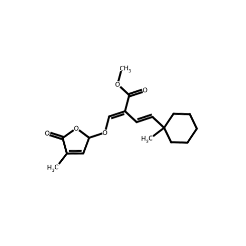 COC(=O)C(/C=C/C1(C)CCCCC1)=C/OC1C=C(C)C(=O)O1